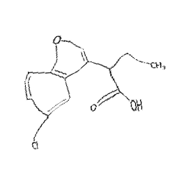 CCC(C(=O)O)c1coc2ccc(Cl)cc12